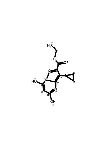 CCOC(=O)c1nn2c(O)cc(O)nc2c1C1CC1